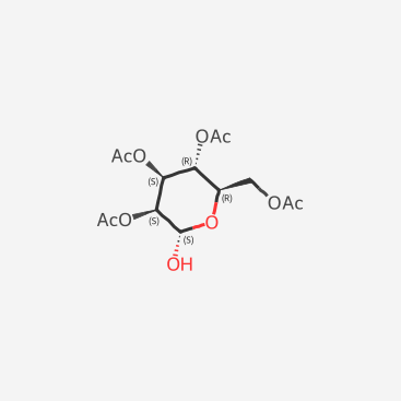 CC(=O)OC[C@H]1O[C@H](O)[C@@H](OC(C)=O)[C@@H](OC(C)=O)[C@@H]1OC(C)=O